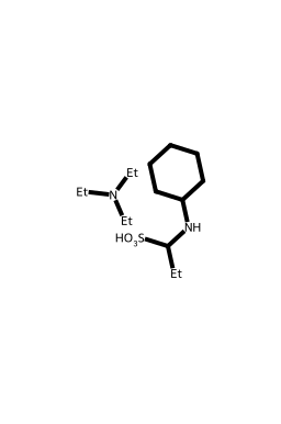 CCC(NC1CCCCC1)S(=O)(=O)O.CCN(CC)CC